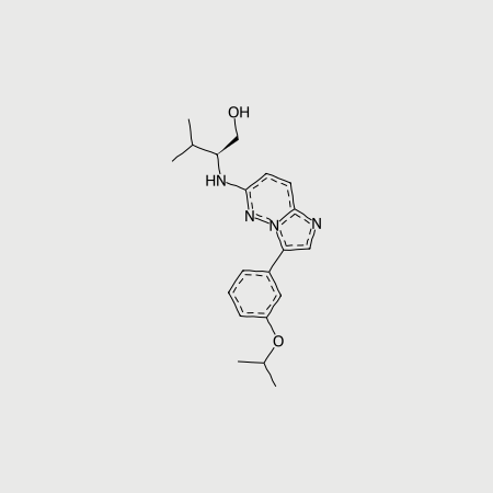 CC(C)Oc1cccc(-c2cnc3ccc(N[C@H](CO)C(C)C)nn23)c1